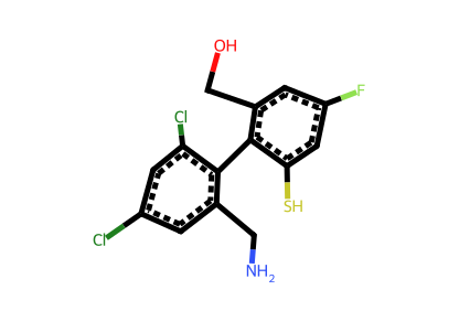 NCc1cc(Cl)cc(Cl)c1-c1c(S)cc(F)cc1CO